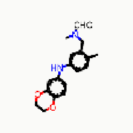 Cc1ccc(Nc2ccc3c(c2)OCCO3)cc1CN(C)C=O